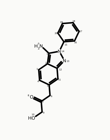 Nc1c2ccc(CC(=O)CO)cc2nn1-c1ccccc1